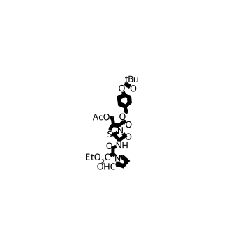 CCOC(=O)C(C(=O)NC1C(=O)N2C(C(=O)OCc3ccc(OC(=O)C(C)(C)C)cc3)=C(COC(C)=O)CSC12)n1cccc1C=O